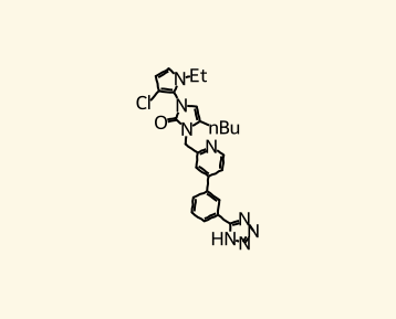 CCCCc1cn(-c2c(Cl)ccn2CC)c(=O)n1Cc1cc(-c2cccc(-c3nnn[nH]3)c2)ccn1